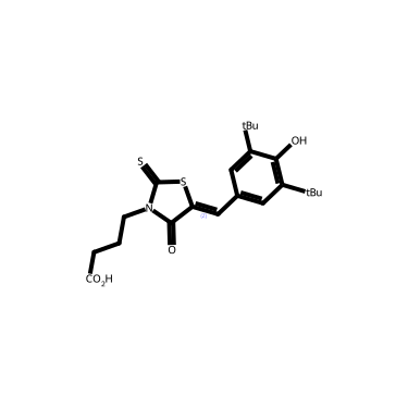 CC(C)(C)c1cc(/C=C2\SC(=S)N(CCCC(=O)O)C2=O)cc(C(C)(C)C)c1O